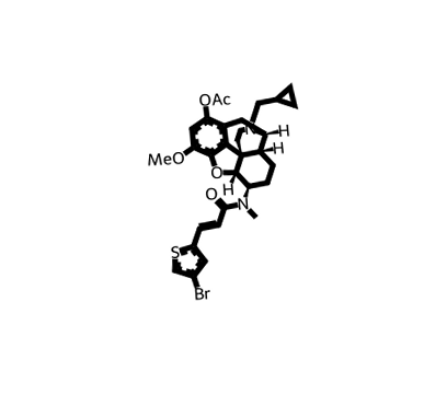 COc1cc(OC(C)=O)c2c3c1O[C@H]1[C@H](N(C)C(=O)/C=C/c4cc(Br)cs4)CC[C@H]4[C@@H](C2)N(CC2CC2)CC[C@@]341